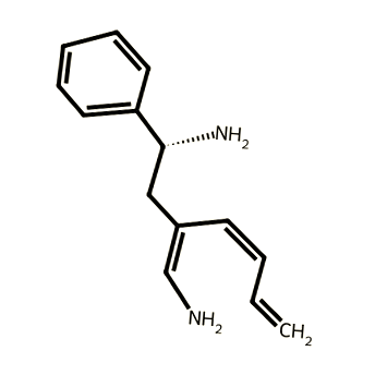 C=C/C=C\C(=C/N)C[C@@H](N)c1ccccc1